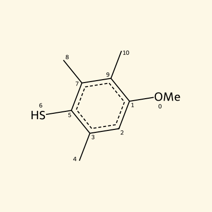 COc1cc(C)c(S)c(C)c1C